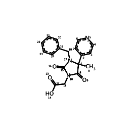 C[C@@]1(c2ccncc2)C(=O)N(CC(=O)O)C(=O)N1Cc1ccccc1